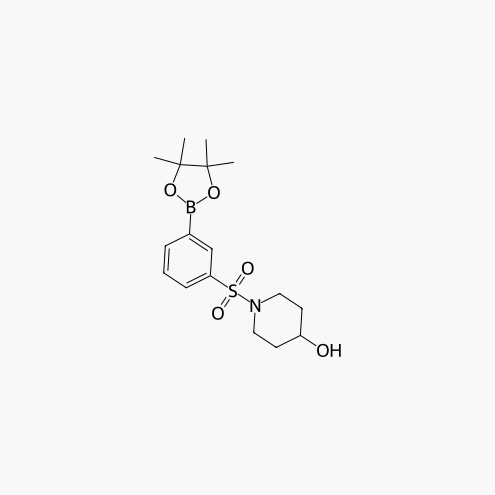 CC1(C)OB(c2cccc(S(=O)(=O)N3CCC(O)CC3)c2)OC1(C)C